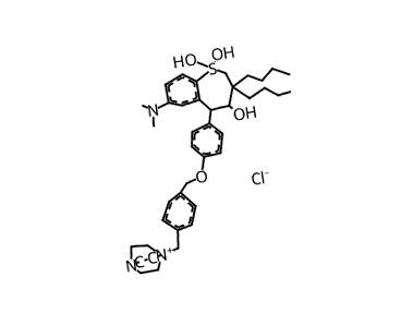 CCCCC1(CCCC)CS(O)(O)c2ccc(N(C)C)cc2C(c2ccc(OCc3ccc(C[N+]45CCN(CC4)CC5)cc3)cc2)C1O.[Cl-]